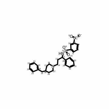 O=[N+]([O-])c1cccc(S(=O)(=O)NC(CCN2CCC(Cc3ccccc3)CC2)c2ccccc2)c1